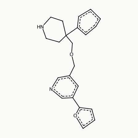 c1ccc(C2(COCc3cncc(-c4ccco4)c3)CCNCC2)cc1